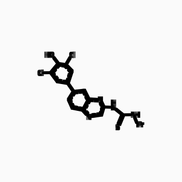 CC(C)NC(=S)Nc1cnc2ccc(-c3cc(Cl)c(O)c(Cl)c3)cc2n1